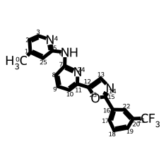 Cc1ccnc(Nc2cccc(-c3cnc(-c4cccc(C(F)(F)F)c4)o3)n2)c1